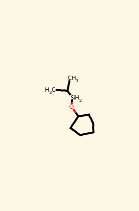 CC(C)[SiH2]OC1CCCCC1